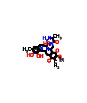 CCOC1=C(C)C(=O)C2=C(C1=O)C(CNC(=O)C(C)N)N1C(O)C3Cc4cc(C)c(O)c(O)c4C(C1C2)N3C